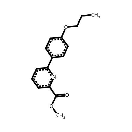 CCCOc1ccc(-c2cccc(C(=O)OC)n2)cc1